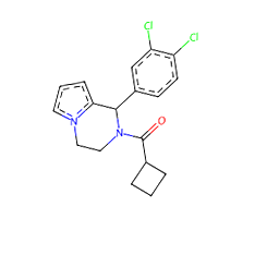 O=C(C1CCC1)N1CCn2cccc2C1c1ccc(Cl)c(Cl)c1